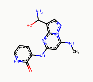 CNc1cc(Nc2ccc[nH]c2=O)nc2c(C(N)O)cnn12